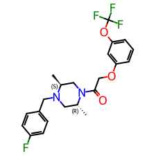 C[C@@H]1CN(Cc2ccc(F)cc2)[C@@H](C)CN1C(=O)COc1cccc(OC(F)(F)F)c1